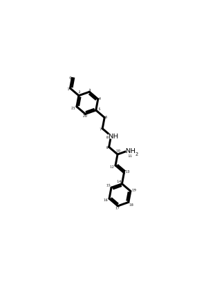 C=Cc1ccc(CCNCC(N)C=Cc2ccccc2)cc1